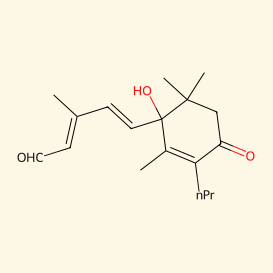 CCCC1=C(C)C(O)(C=CC(C)=CC=O)C(C)(C)CC1=O